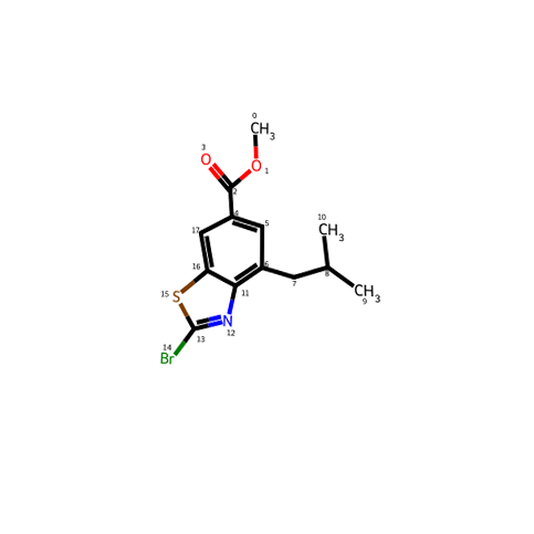 COC(=O)c1cc(CC(C)C)c2nc(Br)sc2c1